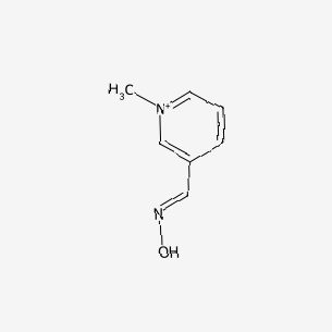 C[n+]1cccc(C=NO)c1